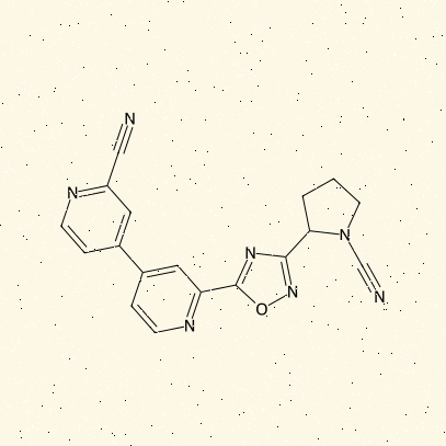 N#Cc1cc(-c2ccnc(-c3nc(C4CCCN4C#N)no3)c2)ccn1